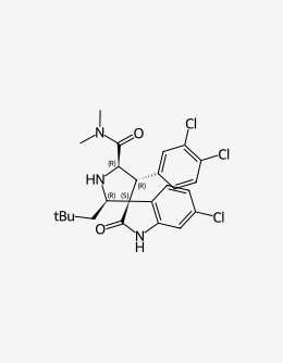 CN(C)C(=O)[C@@H]1N[C@H](CC(C)(C)C)[C@]2(C(=O)Nc3cc(Cl)ccc32)[C@H]1c1ccc(Cl)c(Cl)c1